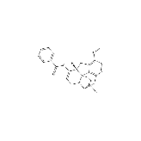 COc1ccc2c3c1C[C@H]1C(OC(=O)c4ccccc4)=CCC4C(C2)N(C)CCC341